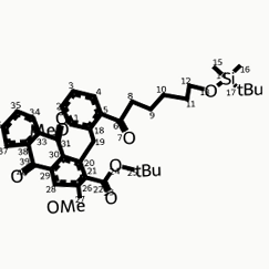 COc1cccc(C(=O)CCCCCO[Si](C)(C)C(C)(C)C)c1Cc1c(C(=O)OC(C)(C)C)c(OC)cc2c1C(=O)c1ccccc1C2=O